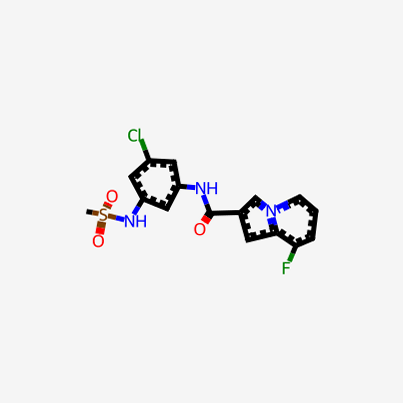 CS(=O)(=O)Nc1cc(Cl)cc(NC(=O)c2cc3c(F)cccn3c2)c1